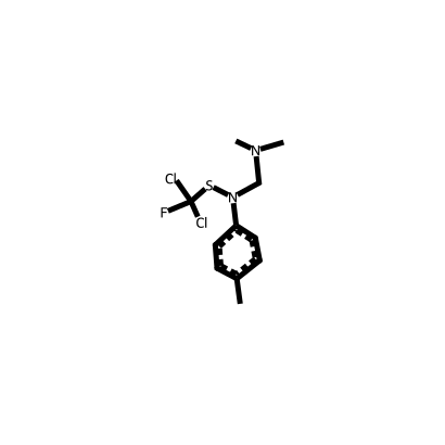 Cc1ccc(N(CN(C)C)SC(F)(Cl)Cl)cc1